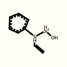 C=C[SiH]([SiH2]O)c1ccccc1